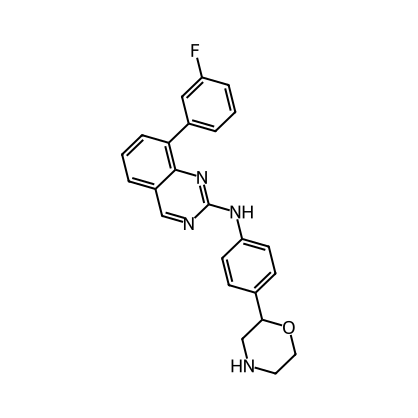 Fc1cccc(-c2cccc3cnc(Nc4ccc(C5CNCCO5)cc4)nc23)c1